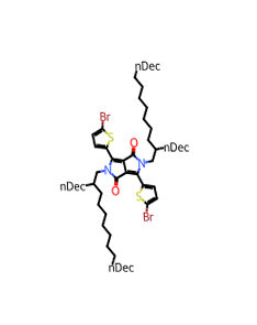 CCCCCCCCCCCCCCCCCC(CCCCCCCCCC)CN1C(=O)C2=C(c3ccc(Br)s3)N(CC(CCCCCCCCCC)CCCCCCCCCCCCCCCCC)C(=O)C2=C1c1ccc(Br)s1